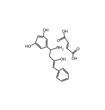 NC(CC(O)=Cc1ccccc1)c1cc(O)cc(O)c1.O=C(O)/C=C/C(=O)O